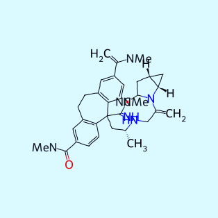 C=C(NC)c1ccc2c(c1)CCc1cc(C(=O)NC)ccc1C2(C[C@@H](C)NCC(=C)N1C(C#N)C[C@@H]2C[C@@H]21)C(=N)NC